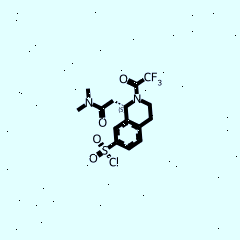 CN(C)C(=O)C[C@H]1c2cc(S(=O)(=O)Cl)ccc2CCN1C(=O)C(F)(F)F